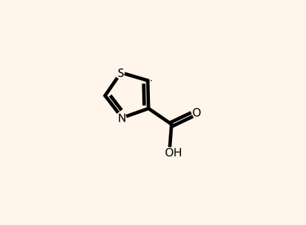 O=C(O)c1[c]scn1